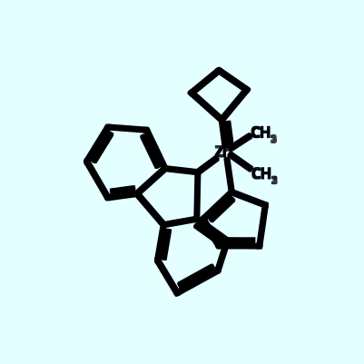 [CH3][Zr]([CH3])([C]1=CC=CC1)(=[C]1CCC1)[CH]1c2ccccc2-c2ccccc21